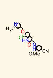 COc1cc(NCc2cc3ccc(OCc4ccnc(C)c4)c(Cl)c3[nH]c2=O)ccc1C#N